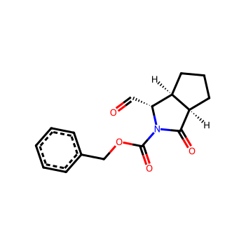 O=C[C@@H]1[C@H]2CCC[C@H]2C(=O)N1C(=O)OCc1ccccc1